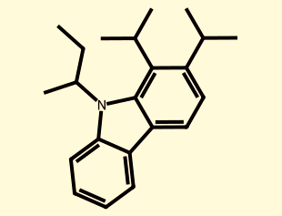 CCC(C)n1c2ccccc2c2ccc(C(C)C)c(C(C)C)c21